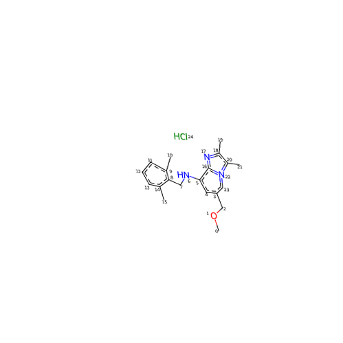 COCc1cc(NCc2c(C)cccc2C)c2nc(C)c(C)n2c1.Cl